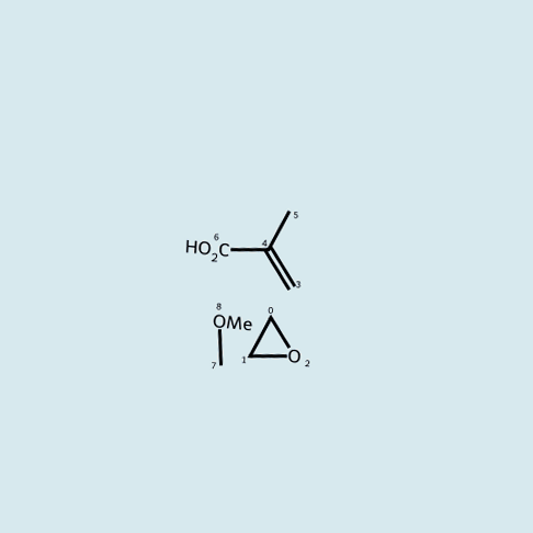 C1CO1.C=C(C)C(=O)O.COC